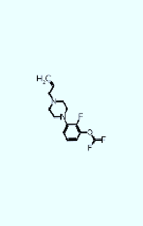 C=CCN1CCN(c2cccc(OC(F)F)c2F)CC1